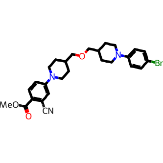 COC(=O)c1ccc(N2CCC(COCC3CCN(c4ccc(Br)cc4)CC3)CC2)cc1C#N